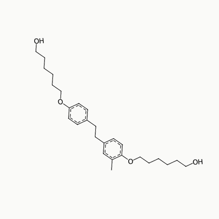 Cc1cc(CCc2ccc(OCCCCCCO)cc2)ccc1OCCCCCCO